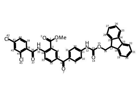 COC(=O)c1cc(C(=O)c2ccc(NC(=O)OCC3c4ccccc4-c4ccccc43)cc2)ccc1NC(=O)c1ccc(Cl)cc1Cl